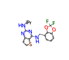 CC(C)Nc1nc(NCc2cccc3c2OC(F)(F)O3)c2sccc2n1